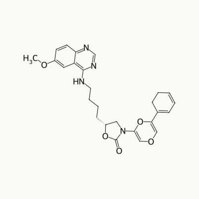 COc1ccc2ncnc(NCCCC[C@@H]3CN(C4=COC=C(C5=CC=CCC5)O4)C(=O)O3)c2c1